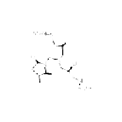 CNNOC(=O)CN(CC(=O)ONNC)CN1C(=O)CC(C)C1=O